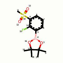 CC1(C)OB(c2cccc(S(C)(=O)=O)c2F)OC1(C)C